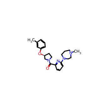 Cc1cccc(O[C@H]2CCN(C(=O)c3cccc(N4CCCN(C)CC4)n3)C2)c1